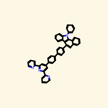 c1ccc(-n2c3ccccc3c3c(-c4ccc(-c5ccc(-c6cc(-c7ccccn7)nc(-c7ccccn7)c6)cc5)cc4)cc4ccccc4c32)cc1